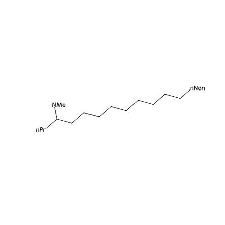 CCCCCCCCCCCCCCCCCCC(CCC)NC